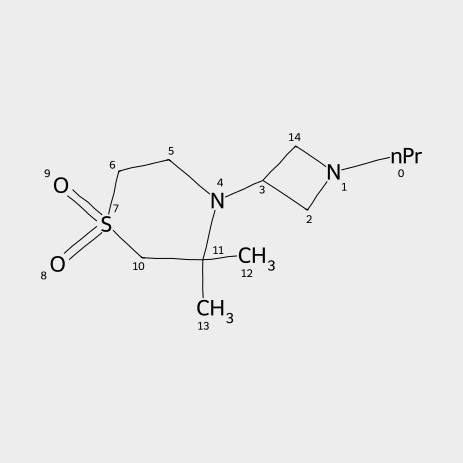 CCCN1CC(N2CCS(=O)(=O)CC2(C)C)C1